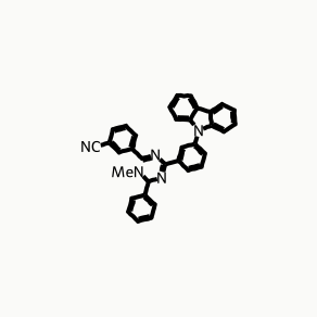 CNC(/N=C(\N=C\c1cccc(C#N)c1)c1cccc(-n2c3ccccc3c3ccccc32)c1)c1ccccc1